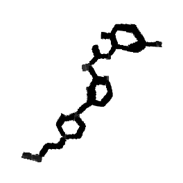 C=C(Nc1cc(N2CCN(CCOC)CC2)ccn1)Sc1cc(C(C)C)ccc1C